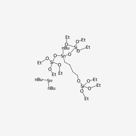 CCC[CH2][Sn]([CH2]CCCO[Si](OCC)(OCC)OCC)([O][Si](OCC)(OCC)OCC)[O][Si](OCC)(OCC)OCC.CCC[CH2][Sn][CH2]CCC